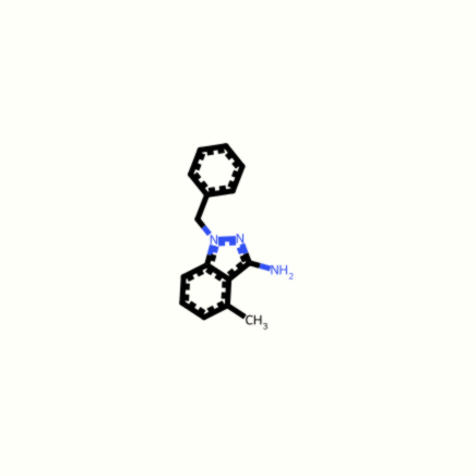 Cc1cccc2c1c(N)nn2Cc1ccccc1